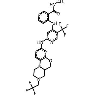 CNC(=O)c1ccccc1Nc1cc(Nc2ccc3c(c2)OCC2CN(CC(F)(F)F)CCN32)ncc1C(F)(F)F